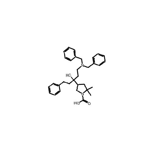 CC1(C)CC(C(O)(CCc2ccccc2)CCN(Cc2ccccc2)Cc2ccccc2)CN1C(=O)O